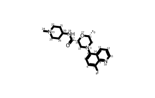 C[C@@H]1CN(c2ccc(I)c3ncccc23)C[C@H](C(=O)NC2CCN(C)CC2)O1